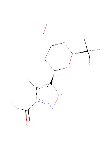 CO[C@@H]1C[C@@H](C(C)(C)C)O[C@@H](c2onc(C(=O)O)c2C)C1